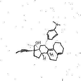 CC#C[C@]1([C@H](C)O)CC[C@H]2[C@@H]3CCC4=CCCCC4=C3[C@@H](c3ccc(N(C)C)cc3)C[C@@]21C